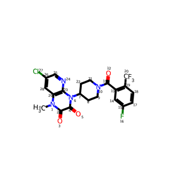 Cn1c(=O)c(=O)n(C2CCN(C(=O)c3cc(F)ccc3C(F)(F)F)CC2)c2ncc(Cl)cc21